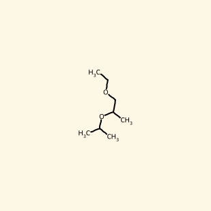 CCOCC(C)OC(C)C